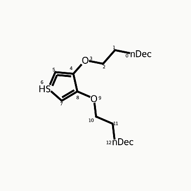 CCCCCCCCCCCCOC1=C=[SH]C=C1OCCCCCCCCCCCC